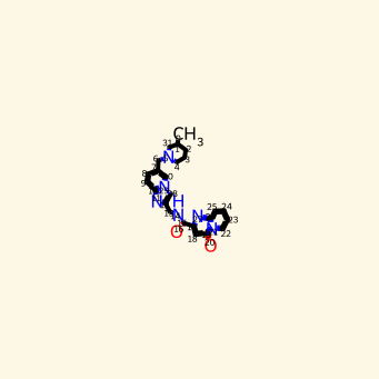 CC1CCCN(Cc2ccc3nc(CNC(=O)c4cc(=O)n5ccccc5n4)cn3c2)C1